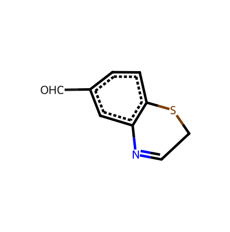 O=Cc1ccc2c(c1)N=CCS2